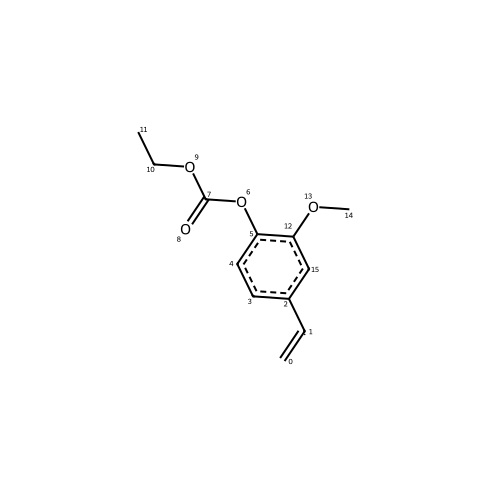 C=[C]c1ccc(OC(=O)OCC)c(OC)c1